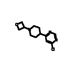 Clc1cc(C2CCN(C3COC3)CC2)ncn1